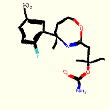 CC(C)(CC1=N[C@](C)(c2cc([N+](=O)[O-])ccc2F)CCO1)OC(N)=O